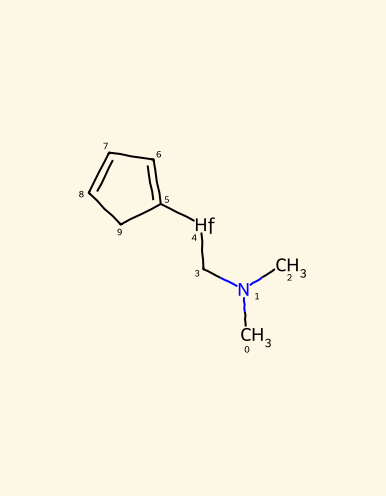 CN(C)[CH2][Hf][C]1=CC=CC1